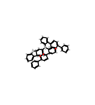 c1ccc(-c2ccc(-c3ccccc3N(c3ccc4c(c3)oc3ccccc34)c3ccccc3-c3ccc(-c4ccccc4)cc3)cc2)cc1